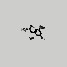 COc1cc(C)cc(C[C@H](N)C(=O)O)c1.Cl